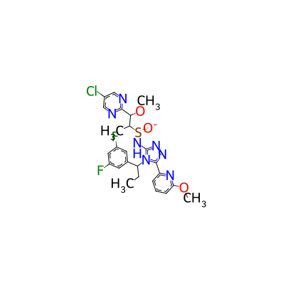 CCC(c1cc(F)cc(F)c1)n1c(N[S+]([O-])C(C)C(OC)c2ncc(Cl)cn2)nnc1-c1cccc(OC)n1